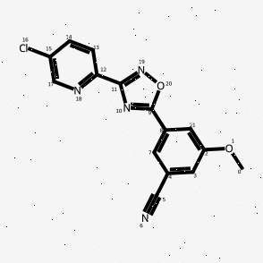 COc1cc(C#N)cc(-c2nc(-c3ccc(Cl)cn3)no2)c1